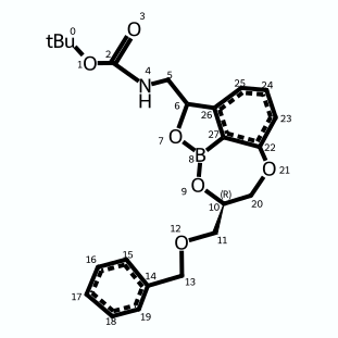 CC(C)(C)OC(=O)NCC1OB2O[C@H](COCc3ccccc3)COc3cccc1c32